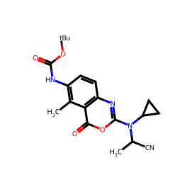 Cc1c(NC(=O)OC(C)(C)C)ccc2nc(N(C(C)C#N)C3CC3)oc(=O)c12